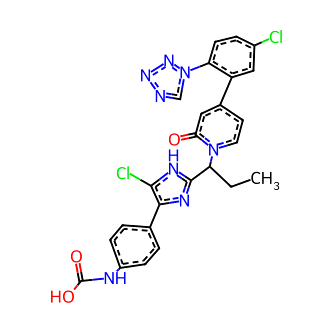 CCC(c1nc(-c2ccc(NC(=O)O)cc2)c(Cl)[nH]1)n1ccc(-c2cc(Cl)ccc2-n2cnnn2)cc1=O